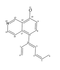 C=C/C(=C\C=C/C)c1ccc(Cl)c2cnccc12